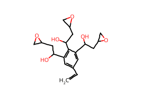 C=Cc1cc(C(O)CC2CO2)c(C(O)CC2CO2)c(C(O)CC2CO2)c1